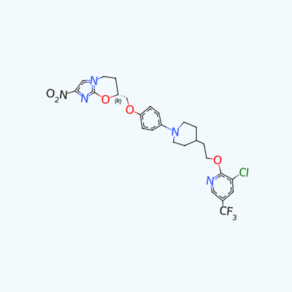 O=[N+]([O-])c1cn2c(n1)O[C@@H](COc1ccc(N3CCC(CCOc4ncc(C(F)(F)F)cc4Cl)CC3)cc1)CC2